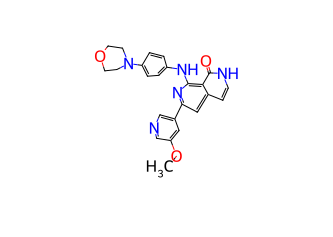 COc1cncc(-c2cc3cc[nH]c(=O)c3c(Nc3ccc(N4CCOCC4)cc3)n2)c1